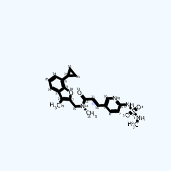 CNS(=O)(=O)Nc1ccc(/C=C/C(=O)N(C)Cc2oc3c(C4CC4)cccc3c2C)cn1